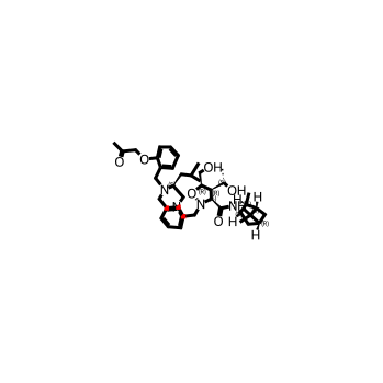 CC(=O)COc1ccccc1CN(Cc1cccc(CN2O[C@@H](CO)[C@@H]([C@H](C)O)[C@H]2C(=O)N[C@H]2C[C@H]3C[C@@H]([C@@H]2C)C3(C)C)c1)[C@@H](CC(C)C)CN(C)C